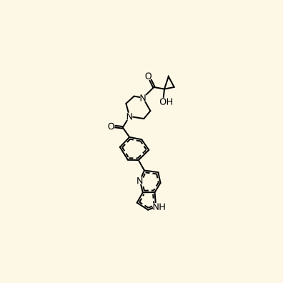 O=C(c1ccc(-c2ccc3[nH]ccc3n2)cc1)N1CCN(C(=O)C2(O)CC2)CC1